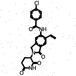 C=Cc1cc2c(cc1NC(=O)c1ccc(Cl)cc1)CN(C1CCC(=O)NC1=O)C2=O